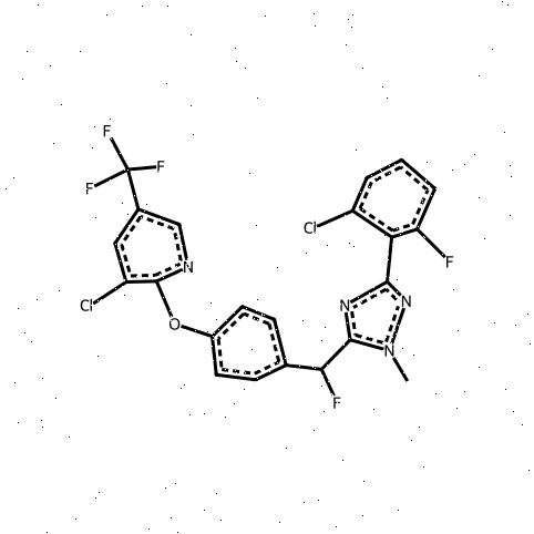 Cn1nc(-c2c(F)cccc2Cl)nc1C(F)c1ccc(Oc2ncc(C(F)(F)F)cc2Cl)cc1